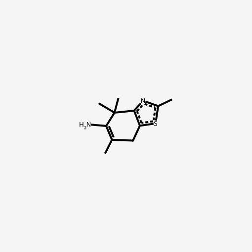 CC1=C(N)C(C)(C)c2nc(C)sc2C1